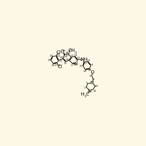 CN1CCN(CCOc2ccc(Nc3cc4c(cn3)cc(-c3c(Cl)cccc3Cl)c(=O)n4C)cc2)CC1